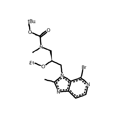 CCO[C@@H](CN(C)C(=O)OC(C)(C)C)Cn1c(C)nc2ccnc(Br)c21